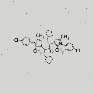 Cc1cc(C(CC2CCCC2)C(=O)C(CC2CCCC2)c2cc(C)n(-c3ccc(Cl)cc3)c2C)c(C)n1-c1ccc(Cl)cc1